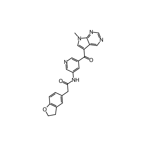 Cn1cc(C(=O)c2cncc(NC(=O)Cc3ccc4c(c3)CCO4)c2)c2cncnc21